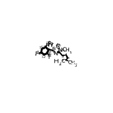 C=C(C)/C=C\C/C(=N/Cc1c(F)cc(F)cc1C(C)C)N(C)C